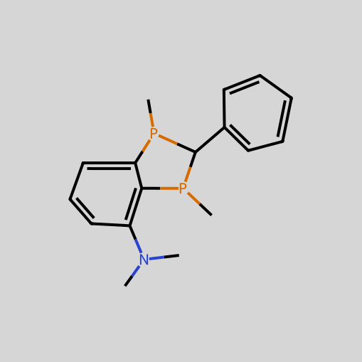 CN(C)c1cccc2c1P(C)C(c1ccccc1)P2C